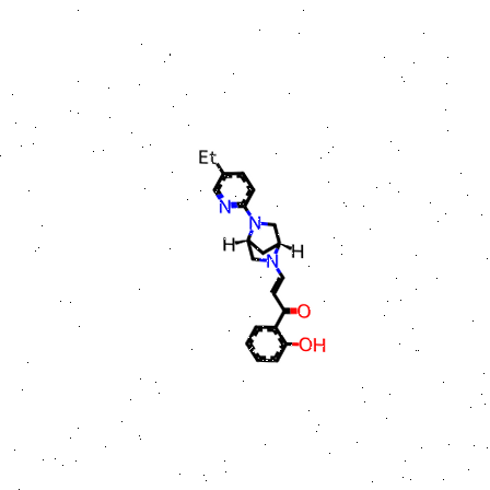 CCc1ccc(N2C[C@H]3C[C@@H]2CN3/C=C/C(=O)c2ccccc2O)nc1